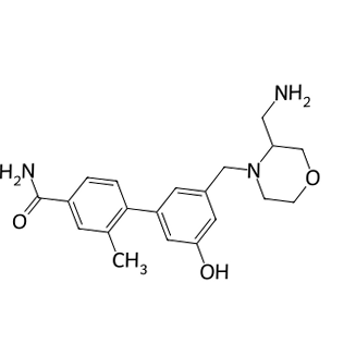 Cc1cc(C(N)=O)ccc1-c1cc(O)cc(CN2CCOCC2CN)c1